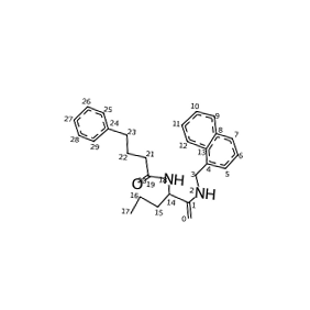 C=C(NCc1cccc2ccccc12)C(CCC)NC(=O)CCCc1ccccc1